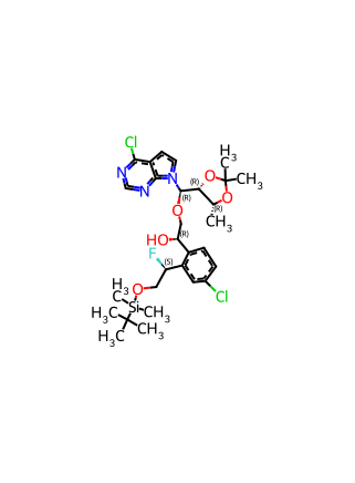 C[C@H]1OC(C)(C)O[C@H]1[C@@H](OC[C@H](O)c1ccc(Cl)cc1[C@H](F)CO[Si](C)(C)C(C)(C)C)n1ccc2c(Cl)ncnc21